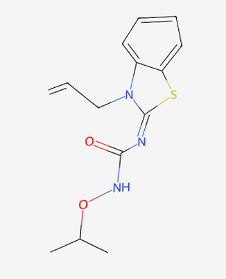 C=CCn1c(=NC(=O)NOC(C)C)sc2ccccc21